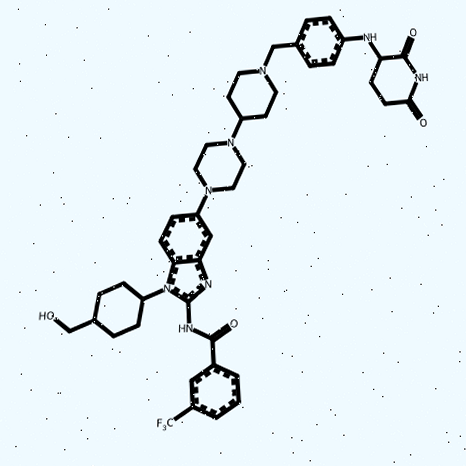 O=C1CCC(Nc2ccc(CN3CCC(N4CCN(c5ccc6c(c5)nc(NC(=O)c5cccc(C(F)(F)F)c5)n6C5CCC(CO)CC5)CC4)CC3)cc2)C(=O)N1